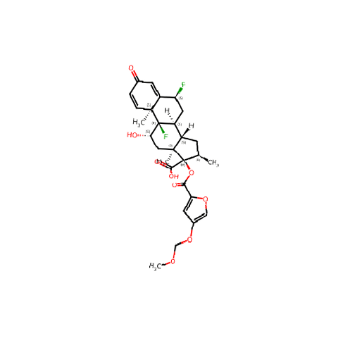 COCOc1coc(C(=O)O[C@]2(C(=O)O)[C@H](C)C[C@H]3[C@@H]4C[C@H](F)C5=CC(=O)C=C[C@]5(C)[C@@]4(F)[C@@H](O)C[C@@]32C)c1